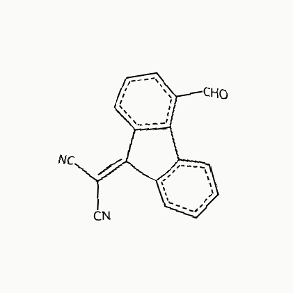 N#CC(C#N)=C1c2ccccc2-c2c(C=O)cccc21